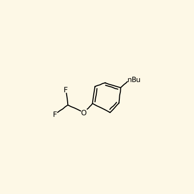 CCCCc1ccc(OC(F)F)cc1